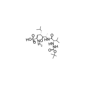 CC(C)C[C@@H](/C=C(\N)S(=O)(=O)O)C(=O)[C@H](C)NC(=O)[C@@H](NNC(=O)OC(C)(C)C)C(C)C